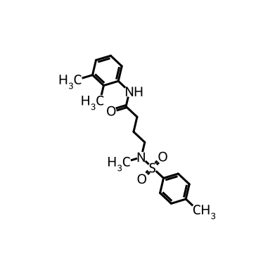 Cc1ccc(S(=O)(=O)N(C)CCCC(=O)Nc2cccc(C)c2C)cc1